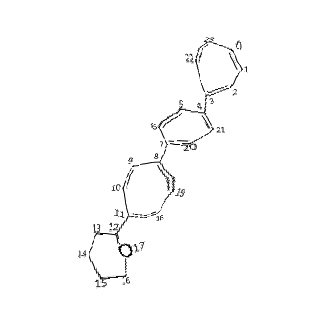 c1ccc(-c2ccc(-c3ccc(C4CCCCO4)cc3)cc2)cc1